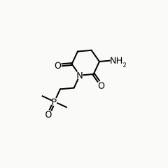 CP(C)(=O)CCN1C(=O)CCC(N)C1=O